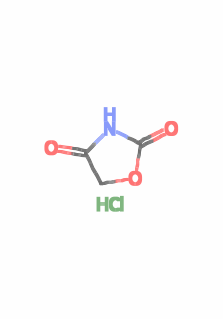 Cl.O=C1COC(=O)N1